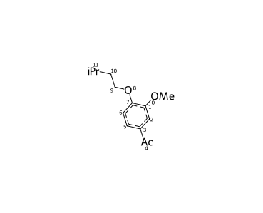 COc1cc(C(C)=O)ccc1OCCC(C)C